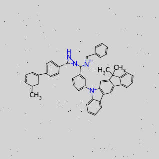 CC1C=CC=C(c2ccc(C3NN3C(/N=C/c3ccccc3)c3cccc(-n4c5ccccc5c5cc6c(cc54)C(C)(C)c4ccccc4-6)c3)cc2)C1